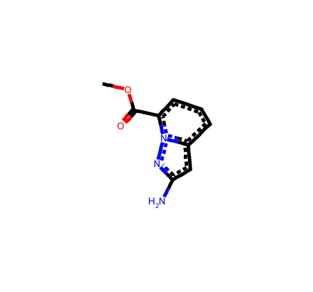 COC(=O)c1cccc2cc(N)nn12